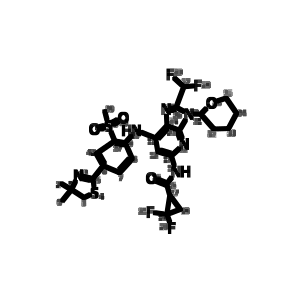 CC1(C)CSC(c2ccc(Nc3cc(NC(=O)C4CC4(F)F)nc4c3nc(C(F)F)n4C3CCCCO3)c(S(C)(=O)=O)c2)=N1